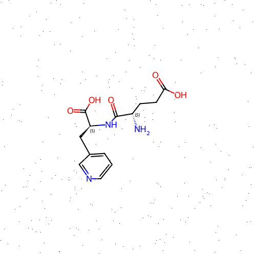 N[C@@H](CCC(=O)O)C(=O)N[C@@H](Cc1cccnc1)C(=O)O